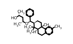 Cc1ccc2c(c1)[C@@]1(C)CC[C@H]([C@@H](O[C@H](C)C[C@@H](C)O)c3ccccc3)C(C)(C)[C@@H]1CC2